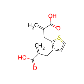 C=C(Cc1ccsc1CC(=C)C(=O)O)C(=O)O